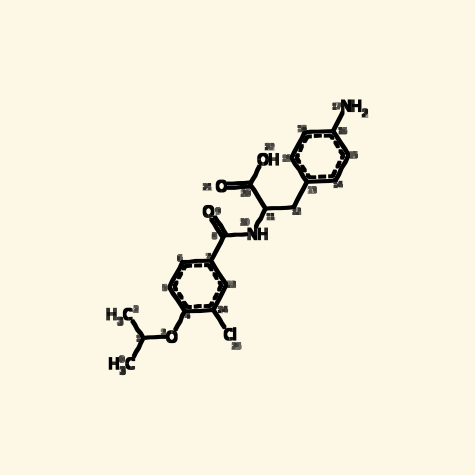 CC(C)Oc1ccc(C(=O)NC(Cc2ccc(N)cc2)C(=O)O)cc1Cl